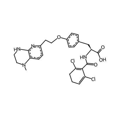 CN1CCNc2nc(CCOc3ccc(C[C@H](NC(=O)C4=C(Cl)CCC=C4Cl)C(=O)O)cc3)ccc21